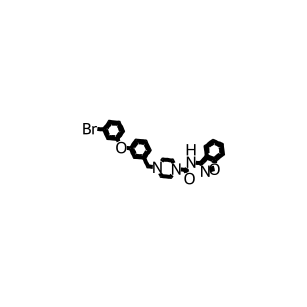 O=C(Nc1noc2ccccc12)N1CCN(Cc2cccc(Oc3cccc(Br)c3)c2)CC1